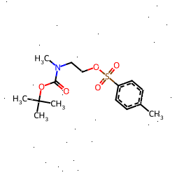 Cc1ccc(S(=O)(=O)OCCN(C)C(=O)OC(C)(C)C)cc1